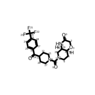 O=C1CO[C@H]2CCN(C(=O)N3CCC(C(=O)c4ccc(C(F)(F)F)cc4)CC3)C[C@H]2N1